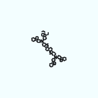 C=Cc1c(/C=C\C)oc2cc(N(c3ccc4c(c3)oc3ccccc34)c3ccc4c(c3)sc3c4ccc4c3ccc3c5ccc(N(c6ccc7c(c6)oc6ccccc67)c6ccc7c(c6)oc6ccccc67)cc5sc34)ccc12